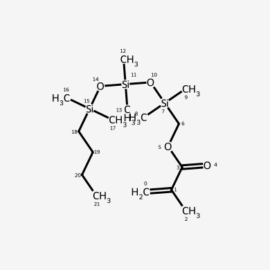 C=C(C)C(=O)OC[Si](C)(C)O[Si](C)(C)O[Si](C)(C)CCCC